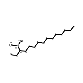 CCCCCCCCCCCCC(CC)N(N)N